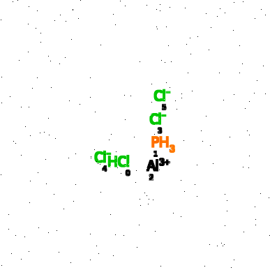 Cl.P.[Al+3].[Cl-].[Cl-].[Cl-]